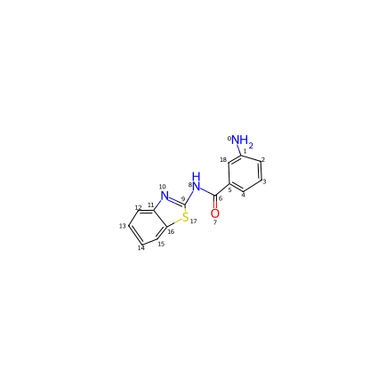 Nc1cccc(C(=O)Nc2nc3ccccc3s2)c1